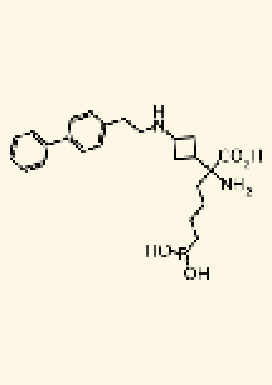 NC(CCCCB(O)O)(C(=O)O)C1CC(NCCc2ccc(-c3ccccc3)cc2)C1